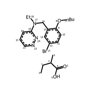 CCC(C)C(=O)O.CCCCOc1ccc(Br)cc1CN(CC)c1cccnn1